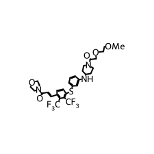 COCCOCC(=O)N1CCC(Nc2cccc(Sc3ccc(C=CC(=O)N4CCOCC4)c(C(F)(F)F)c3C(F)(F)F)c2)CC1